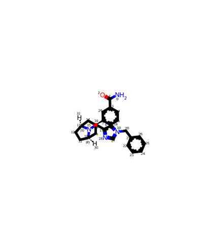 NC(=O)c1cccc([C@H]2C[C@H]3CC[C@@H](C2)N3Cc2cn(Cc3ccccc3)cn2)c1